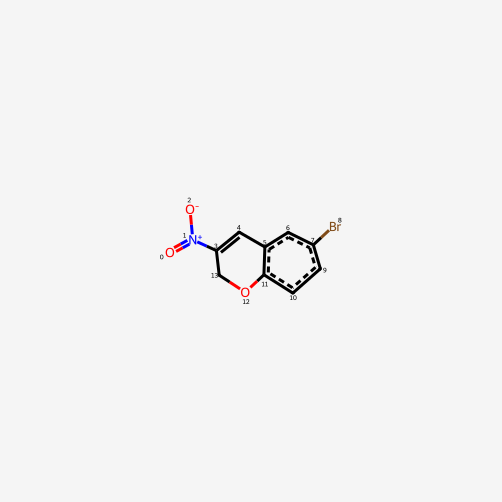 O=[N+]([O-])C1=Cc2cc(Br)ccc2OC1